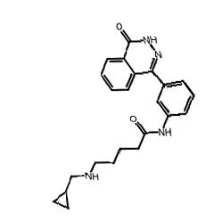 O=C(CCCCNCC1CC1)Nc1cccc(-c2n[nH]c(=O)c3ccccc23)c1